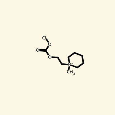 C[N+]1(CCOC(=O)OCl)CCCCC1